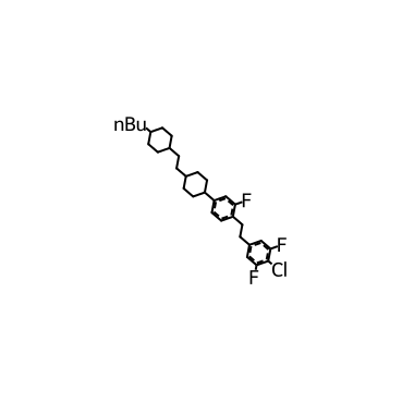 CCCCC1CCC(CCC2CCC(c3ccc(CCc4cc(F)c(Cl)c(F)c4)c(F)c3)CC2)CC1